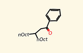 CCCCCCCCC(CCCCCCCC)CC(=O)c1ccccc1